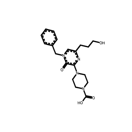 O=C(O)N1CCN(c2nc(CCCO)cn(Cc3ccccc3)c2=O)CC1